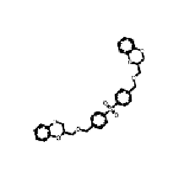 O=S(=O)(c1ccc(COCC2COc3ccccc3O2)cc1)c1ccc(COCC2COc3ccccc3O2)cc1